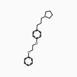 c1ccc(OCCOc2ccc(CCCN3CCCC3)cc2)cc1